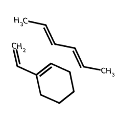 C=CC1=CCCCC1.CC=CC=CC